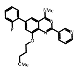 CNc1nc(-c2cccnc2)nc2c(OCCCOC)cc(-c3ccccc3F)cc12